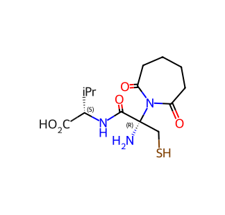 CC(C)[C@H](NC(=O)[C@](N)(CS)N1C(=O)CCCCC1=O)C(=O)O